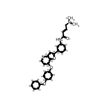 CN(C)C/C=C/C(=O)Nc1cccc(-c2cc3nccc(Oc4ccc(Oc5ccccc5)cc4)c3o2)c1